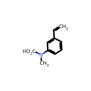 C=Cc1cccc(N(C)C(=O)O)c1